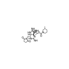 CC1CCCN(C(=O)O[C@H]2CN3C(=N)N[C@@H](CN4C(=O)CCC4=O)[C@@H]4NC(=N)N[C@@]43C2(O)O)C1